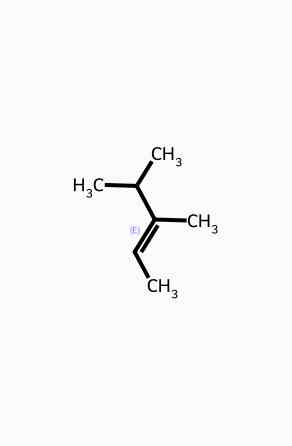 C/C=C(\C)C(C)C